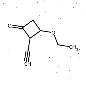 C#CC1C(=O)CC1OCC